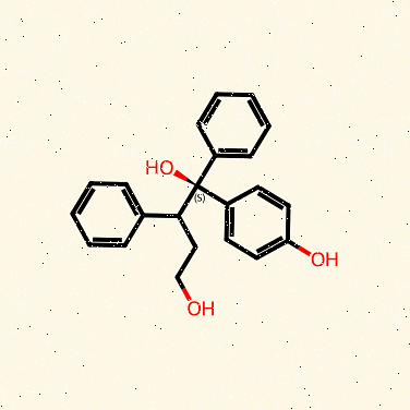 OCCC(c1ccccc1)[C@](O)(c1ccccc1)c1ccc(O)cc1